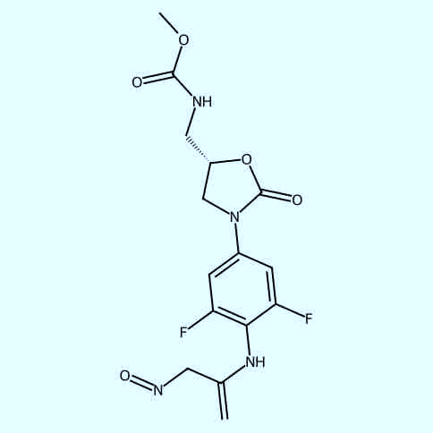 C=C(CN=O)Nc1c(F)cc(N2C[C@H](CNC(=O)OC)OC2=O)cc1F